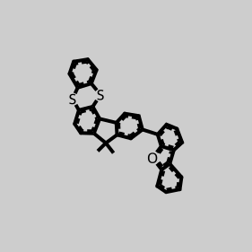 CC1(C)c2cc(-c3cccc4c3oc3ccccc34)ccc2-c2c1ccc1c2Sc2ccccc2S1